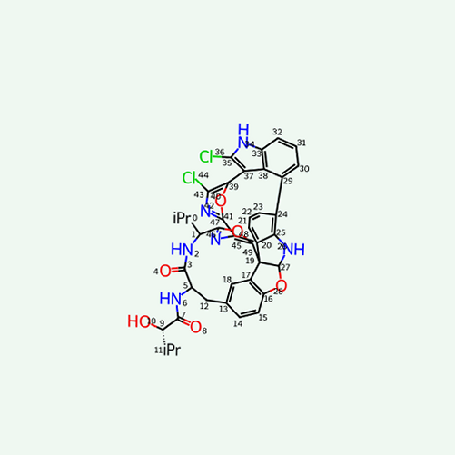 CC(C)C1NC(=O)C(NC(=O)[C@@H](O)C(C)C)Cc2ccc3c(c2)C24c5cccc(c5NC2O3)-c2cccc3[nH]c(Cl)c(c23)-c2oc(nc2Cl)-c2nc1oc24